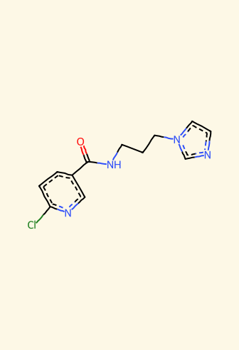 O=C(NCCCn1ccnc1)c1ccc(Cl)nc1